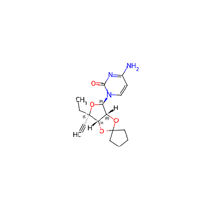 C#C[C@]1(CC)O[C@@H](n2ccc(N)nc2=O)[C@@H]2OC3(CCCC3)O[C@@H]21